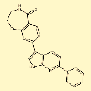 O=C1NCCOc2cc(-c3c[nH]c4nc(-c5ccccc5)ccc34)ccc21